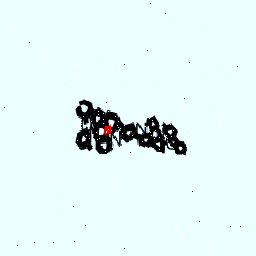 C=Cc1oc2c(N(c3ccccc3C)c3cccc4c3c3cccc5c6cc7c(cc6n4c53)c3cccc4c5c(N(c6ccccc6C)c6c(C)ccc8c6oc6ccccc68)cccc5n7c34)c(C)ccc2c1/C=C\C